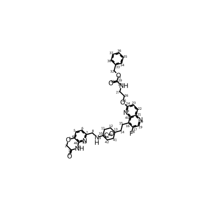 O=C1COc2ccc(CNC34CCC(CCc5c(F)cnc6ccc(OCCNC(=O)OCc7ccccc7)nc56)(CC3)OC4)nc2N1